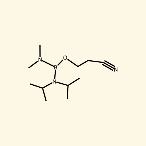 CC(C)N(B(OCCC#N)N(C)C)C(C)C